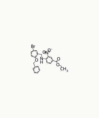 CCOC(=O)c1ccc(NCc2cc(Br)ccc2OCc2ccccc2)c([N+](=O)[O-])c1